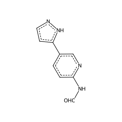 O=CNc1ccc(-c2ccn[nH]2)cn1